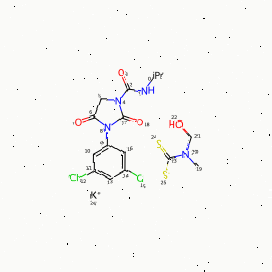 CC(C)NC(=O)N1CC(=O)N(c2cc(Cl)cc(Cl)c2)C1=O.CN(CO)C(=S)[S-].[K+]